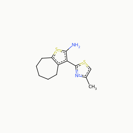 Cc1csc(-c2c(N)sc3c2CCCCC3)n1